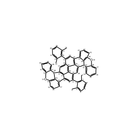 Cc1cccc(C)c1-c1cc2c3c(cc4c(-c5c(C)cccc5C)cc5c6c(cc1c3c46)B1c3ccccc3Oc3cccc-5c31)B1c3ccccc3Oc3cccc-2c31